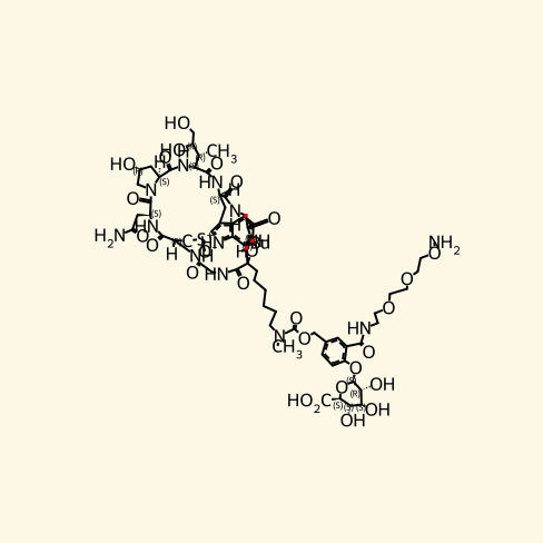 CC[C@H](C)[C@@H]1NC(=O)CNC(=O)[C@@H]2Cc3c4[nH]c5cc(ccc35)OC1(CCCCCCN(C)C(=O)OCc1ccc(O[C@@H]3O[C@H](C(=O)O)[C@@H](O)[C@H](O)[C@H]3O)c(C(=O)NCCOCCOCCON)c1)C(=O)NCC(=O)N[C@@H](C[S+]4[O-])C(=O)N[C@@H](CC(N)=O)C(=O)N1C[C@H](O)C[C@H]1C(=O)N[C@@H]([C@@H](C)[C@@H](O)CO)C(=O)N2